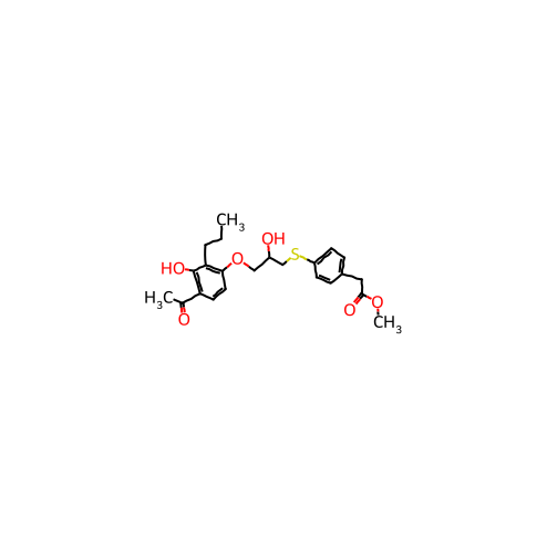 CCCc1c(OCC(O)CSc2ccc(CC(=O)OC)cc2)ccc(C(C)=O)c1O